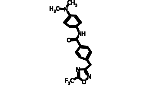 CN(C)c1ccc(NC(=O)c2ccc(Cc3noc(C(F)(F)F)n3)cc2)cc1